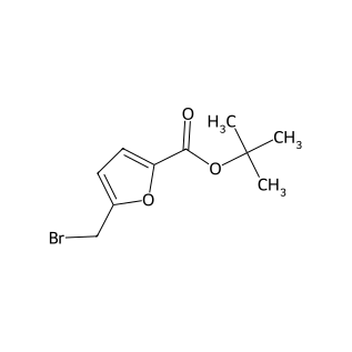 CC(C)(C)OC(=O)c1ccc(CBr)o1